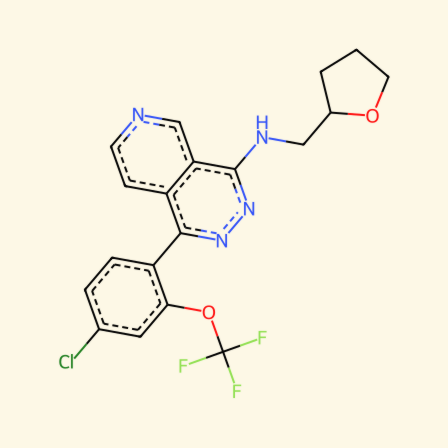 FC(F)(F)Oc1cc(Cl)ccc1-c1nnc(NCC2CCCO2)c2cnccc12